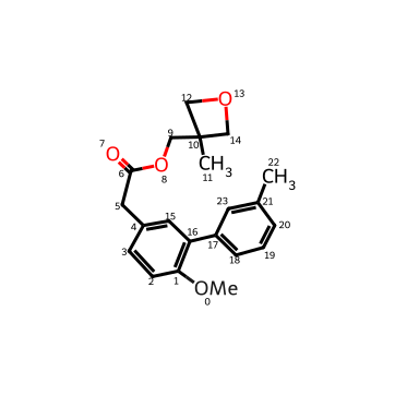 COc1ccc(CC(=O)OCC2(C)COC2)cc1-c1cccc(C)c1